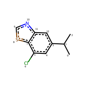 CC(C)c1cc(Cl)c2scnc2c1